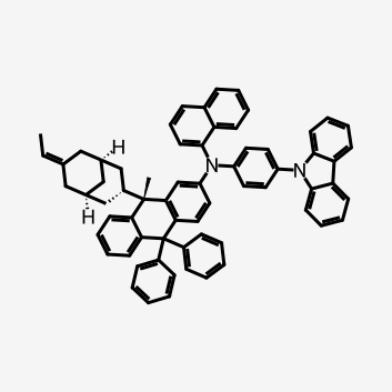 C/C=C1\C[C@@H]2C[C@H](C1)C[C@@H]([C@@]1(C)c3ccccc3C(c3ccccc3)(c3ccccc3)c3ccc(N(c4ccc(-n5c6ccccc6c6ccccc65)cc4)c4cccc5ccccc45)cc31)C2